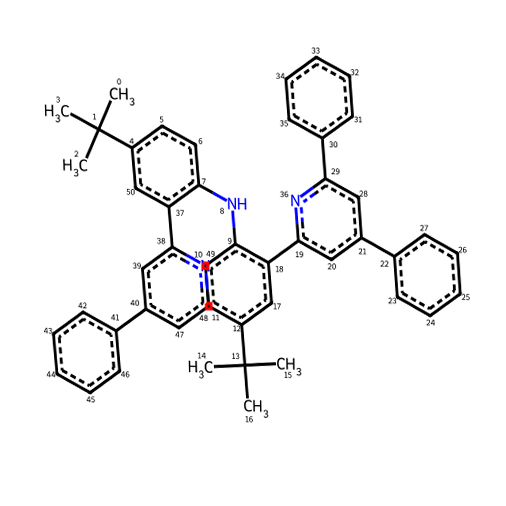 CC(C)(C)c1ccc(Nc2ccc(C(C)(C)C)cc2-c2cc(-c3ccccc3)cc(-c3ccccc3)n2)c(-c2cc(-c3ccccc3)ccn2)c1